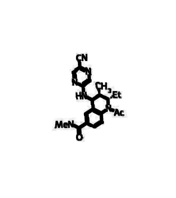 CC[C@H]1[C@H](C)C(Nc2cnc(C#N)cn2)c2cc(C(=O)NC)ccc2N1C(C)=O